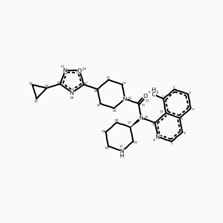 Cc1cccc2ccnc(N(C(=O)N3CCC(c4nc(C5CC5)no4)CC3)[C@@H]3CCCNC3)c12